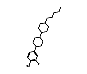 CCCCCC1CCC(C2CCC(c3ccc(O)c(F)c3)CC2)CC1